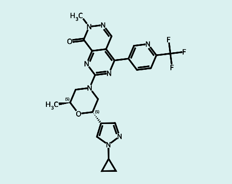 C[C@H]1CN(c2nc(-c3ccc(C(F)(F)F)nc3)c3cnn(C)c(=O)c3n2)C[C@H](c2cnn(C3CC3)c2)O1